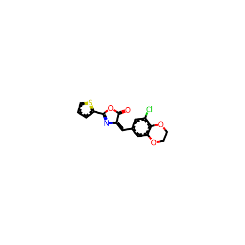 O=C1OC(c2cccs2)=NC1=Cc1cc(Cl)c2c(c1)OCCO2